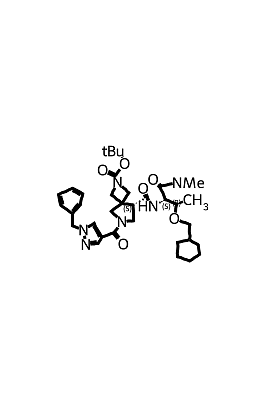 CNC(=O)[C@@H](NC(=O)[C@@H]1CN(C(=O)c2cnn(Cc3ccccc3)c2)CC12CN(C(=O)OC(C)(C)C)C2)[C@@H](C)OCC1CCCCC1